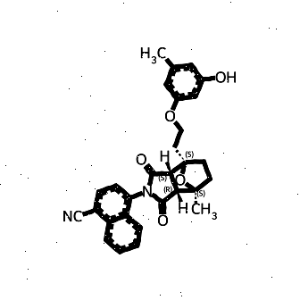 Cc1cc(O)cc(OCC[C@]23CC[C@](C)(O2)[C@@H]2C(=O)N(c4ccc(C#N)c5ccccc45)C(=O)[C@@H]23)c1